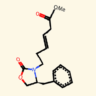 COC(=O)CC=CCCN1C(=O)OC[C@@H]1Cc1ccccc1